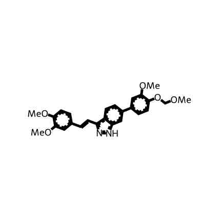 COCOc1ccc(-c2ccc3c(C=Cc4ccc(OC)c(OC)c4)n[nH]c3c2)cc1OC